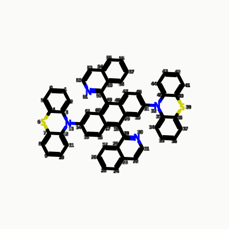 c1ccc2c(c1)Sc1ccccc1N2c1ccc2c(-c3nccc4ccccc34)c3cc(N4c5ccccc5Sc5ccccc54)ccc3c(-c3nccc4ccccc34)c2c1